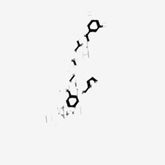 CC(COC(=O)COCCOC(=O)c1cc(S(N)(=O)=O)c(Cl)cc1NCc1ccco1)N[C@@H](C)C(=O)c1cc(F)cc(F)c1